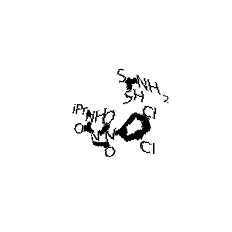 CC(C)NC(=O)N1CC(=O)N(c2cc(Cl)cc(Cl)c2)C1=O.NC(=S)S